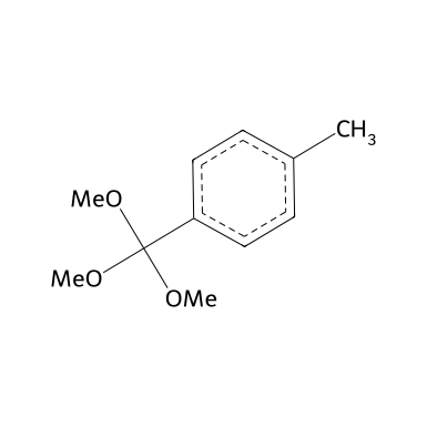 COC(OC)(OC)c1ccc(C)cc1